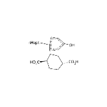 CCCCCCCc1ccc(O)cc1.O=C(O)[C@H]1CC[C@H](C(=O)O)CC1